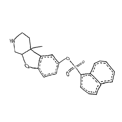 CC12CCNCC1Oc1ccc(OS(=O)(=O)c3cccc4ccccc34)cc12